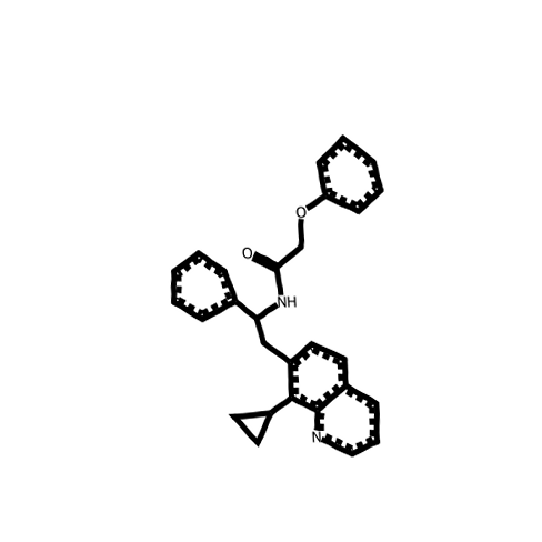 O=C(COc1ccccc1)NC(Cc1ccc2cccnc2c1C1CC1)c1ccccc1